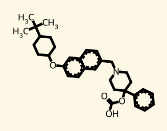 CC(C)(C)C1CCC(Oc2ccc3cc(CN4CCC(OC(=O)O)(c5ccccc5)CC4)ccc3c2)CC1